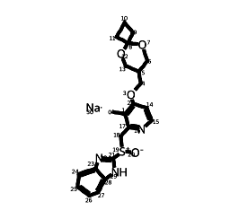 Cc1c(OCC2COC3(CCC3)OC2)ccnc1C[S+]([O-])c1nc2ccccc2[nH]1.[Na]